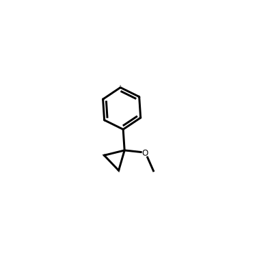 COC1(c2cc[c]cc2)CC1